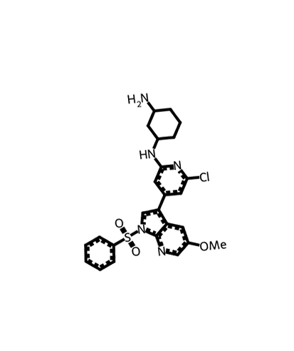 COc1cnc2c(c1)c(-c1cc(Cl)nc(NC3CCCC(N)C3)c1)cn2S(=O)(=O)c1ccccc1